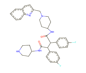 O=C(NC1CCNCC1)C(c1ccc(F)cc1)C(C(=O)NC1CCN(Cc2ccc3ccccc3n2)CC1)c1ccc(F)cc1